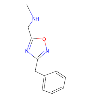 CNCc1nc(Cc2ccccc2)no1